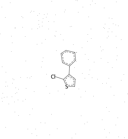 Clc1sccc1-c1c[c]ccc1